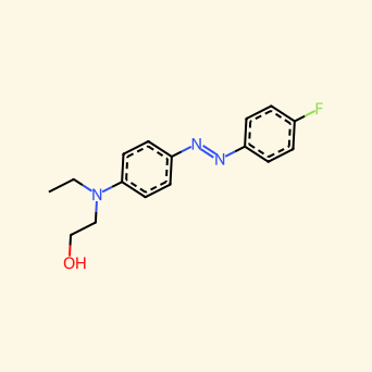 CCN(CCO)c1ccc(N=Nc2ccc(F)cc2)cc1